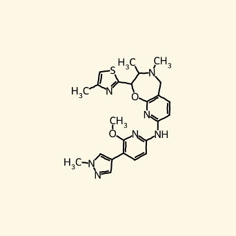 COc1nc(Nc2ccc3c(n2)OC(c2nc(C)cs2)C(C)N(C)C3)ccc1-c1cnn(C)c1